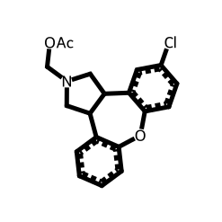 CC(=O)OCN1CC2c3ccccc3Oc3ccc(Cl)cc3C2C1